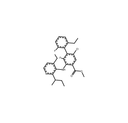 CCc1ccnc(C(C)CC)c1Nc1c(C(=O)OC)cc(Cl)c(-c2c(F)cccc2CC)c1F